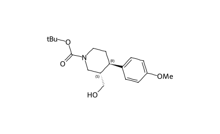 COc1ccc([C@@H]2CCN(C(=O)OC(C)(C)C)C[C@H]2CO)cc1